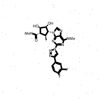 CNC(=O)[C@H]1[C@H](C)[C@@H](n2cnc3c(NC)nc(-n4cc(-c5ccc(F)c(F)c5)nn4)nc32)[C@H](O)[C@@H]1O